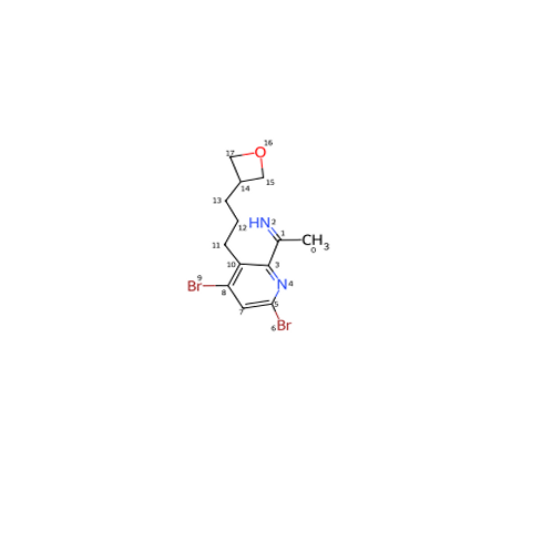 CC(=N)c1nc(Br)cc(Br)c1CCCC1COC1